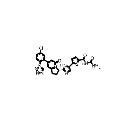 NC(=O)NC(=O)c1ccc(-c2cnc([C@@H]3CCc4cc(-c5cc(Cl)ccc5-n5cnnn5)cc(=O)n43)[nH]2)s1